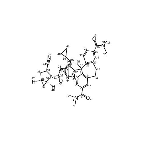 CN(C)C(=O)c1ccc2c(c1)CCc1cc(C(=O)N(C)C)ccc1C2(C[C@H](NCC(=O)N1[C@H](C#N)C[C@@H]2C[C@@H]21)C1CC1)c1nnn[nH]1